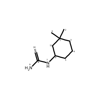 CC1(C)CCCC(NC(N)=S)C1